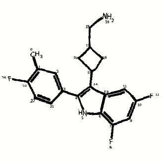 Cc1cc(-c2[nH]c3c(F)cc(F)cc3c2C2CC(CN)C2)ccc1F